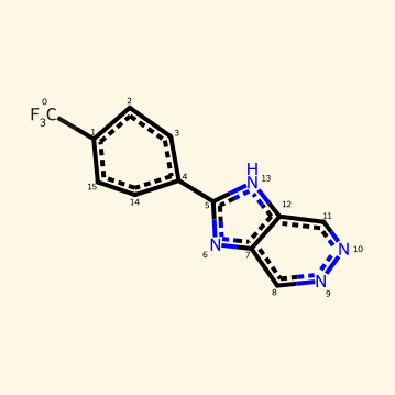 FC(F)(F)c1ccc(-c2nc3cnncc3[nH]2)cc1